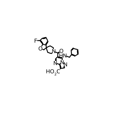 O=C(O)c1cnn2c(NCc3ccccc3)c(C(=O)N3CCC4(CC3)COc3c(F)cccc34)cnc12